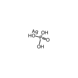 O=P(O)(O)O.[Ag]